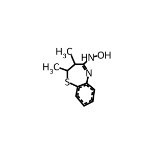 CC1Sc2ccccc2N=C(NO)C1C